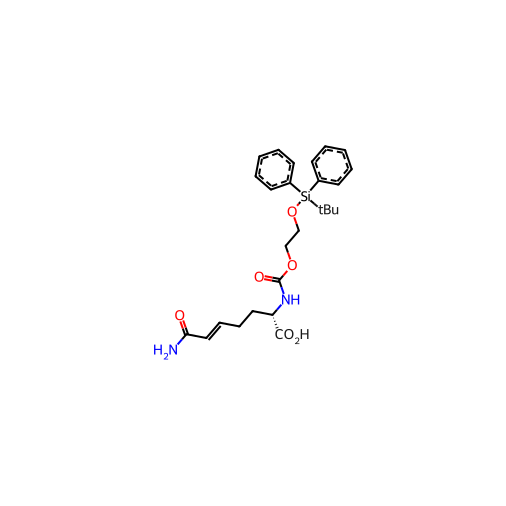 CC(C)(C)[Si](OCCOC(=O)N[C@@H](CC/C=C/C(N)=O)C(=O)O)(c1ccccc1)c1ccccc1